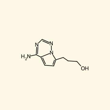 Nc1ncnn2c(CCCO)ccc12